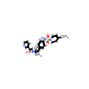 CC1CCN(S(=O)(=O)Nc2ccc(CC(C)(C)NC[C@H](O)c3cccnc3)cc2)CC1